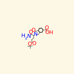 CC(C)(C)OC(=O)CCC(C(N)=O)N1Cc2cc(C(=O)O)ccc2C1=O